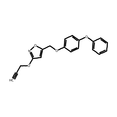 C#CCOc1cc(COc2ccc(Oc3ccccc3)cc2)on1